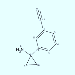 C#Cc1cccc(C2(N)CC2)c1